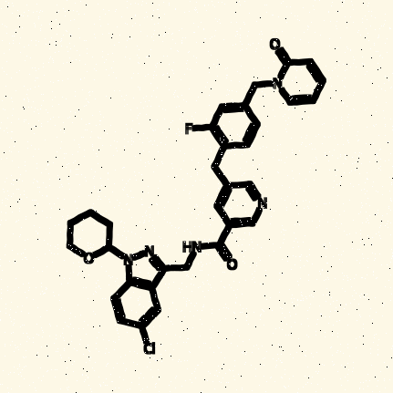 O=C(NCc1nn(C2CCCCO2)c2ccc(Cl)cc12)c1cncc(Cc2ccc(Cn3ccccc3=O)cc2F)c1